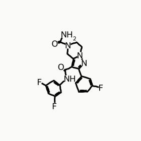 NC(=O)N1CCn2nc(-c3cccc(F)c3)c(C(=O)Nc3cc(F)cc(F)c3)c2C1